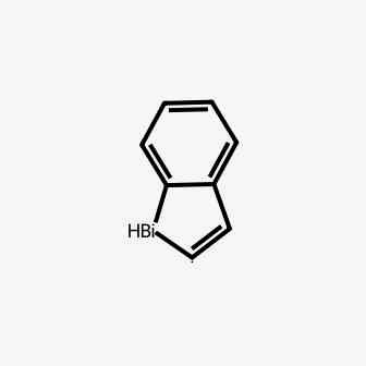 [C]1=Cc2cccc[c]2[BiH]1